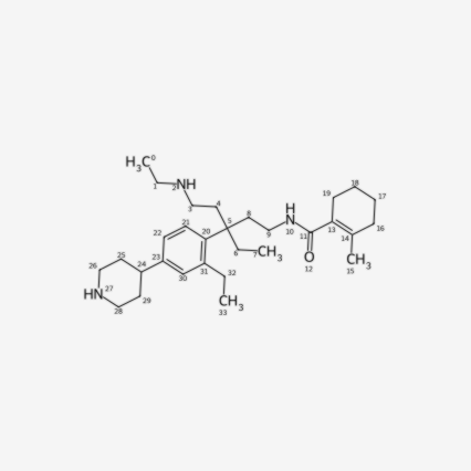 CCNCCC(CC)(CCNC(=O)C1=C(C)CCCC1)c1ccc(C2CCNCC2)cc1CC